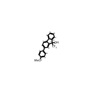 COc1ccc(-c2ccc3c(c2)C(O)(C(F)(F)F)c2ccccc2-3)cc1